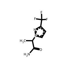 CC(C(N)=O)n1ccc(C(F)(F)F)n1